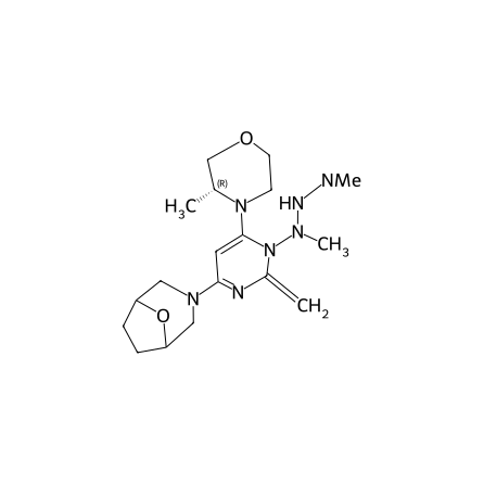 C=C1N=C(N2CC3CCC(C2)O3)C=C(N2CCOC[C@H]2C)N1N(C)NNC